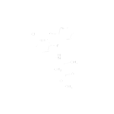 CC[C@@H](NC(C)CC(=O)OC)c1ccc(Cl)c(Oc2ccccc2)c1F